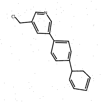 ClCc1cncc(-c2ccc(C3C=CC=CC3)cc2)c1